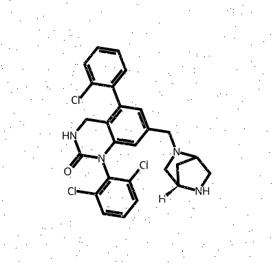 O=C1NCc2c(-c3ccccc3Cl)cc(CN3C[C@@H]4CC3CN4)cc2N1c1c(Cl)cccc1Cl